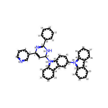 C1=C(c2cccnc2)N=C(c2ccccc2)NC1n1c2ccccc2c2cc(-n3c4ccccc4c4ccccc43)ccc21